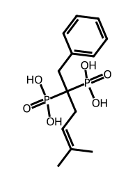 CC(C)=CCC(Cc1ccccc1)(P(=O)(O)O)P(=O)(O)O